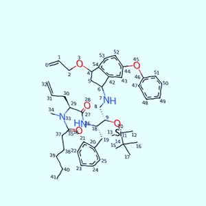 C=CCOC1CC(NC[C@H](O[Si](C)(C)C(C)(C)C)[C@H](Cc2ccccc2)NC(=O)[C@H](CC=C)N(C)C(=O)CCCCC)c2cc(Oc3ccccc3)ccc21